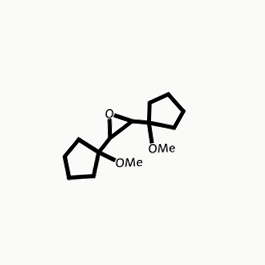 COC1(C2OC2C2(OC)CCCC2)CCCC1